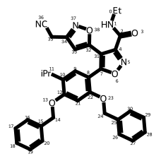 CCNC(=O)c1noc(-c2cc(C(C)C)c(OCc3ccccc3)cc2OCc2ccccc2)c1-c1cc(CC#N)no1